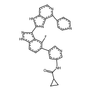 O=C(Nc1cncc(-c2ccc3[nH]nc(-c4nc5c(-c6ccncc6)nccc5[nH]4)c3c2F)c1)C1CC1